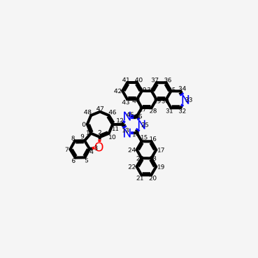 C1=c2/c(oc3ccccc23)=C\C(c2nc(-c3ccc4ccccc4c3)nc(-c3cc4c5ccncc5ccc4c4ccccc34)n2)=C/CC\1